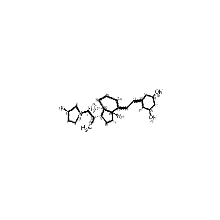 CC(CN1CC[C@@H](F)C1)[C@H]1CC[C@H]2/C(=C/C=C3/C[C@@H](O)C[C@@H](O)C3)CCC[C@]12C